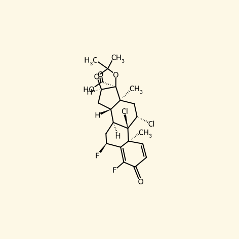 CC1(C)O[C@@H]2C[C@H]3[C@@H]4C[C@H](F)C5=C(F)C(=O)C=C[C@]5(C)[C@@]4(Cl)[C@@H](Cl)C[C@]3(C)[C@]2(C(=O)O)O1